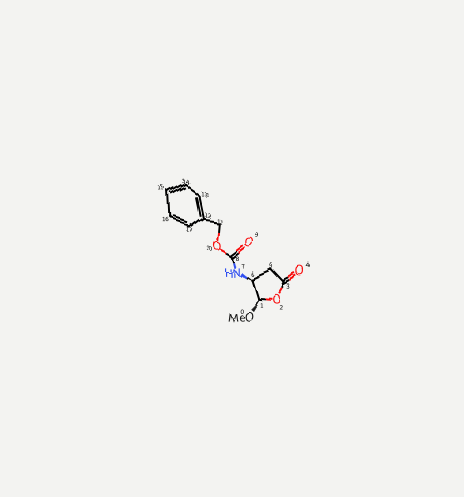 CO[C@@H]1OC(=O)C[C@@H]1NC(=O)OCc1ccccc1